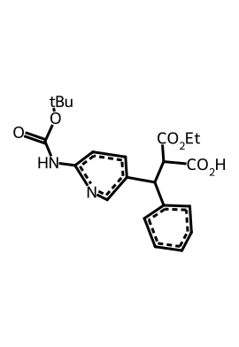 CCOC(=O)C(C(=O)O)C(c1ccccc1)c1ccc(NC(=O)OC(C)(C)C)nc1